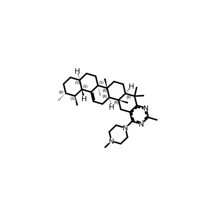 Cc1nc(N2CCN(C)CC2)c2c(n1)C(C)(C)[C@@H]1CC[C@]3(C)[C@H](CC=C4[C@H]5[C@@H](CC[C@@H](C)[C@@H]5C)CC[C@]43C)[C@@]1(C)C2